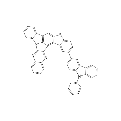 c1ccc(-n2c3ccccc3c3cc(-c4ccc5sc6cc7c8ccccc8n8c9nc%10ccccc%10nc9c(c6c5c4)c78)ccc32)cc1